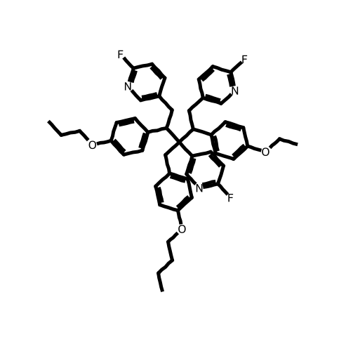 CCCCOc1ccc(CC(c2ccc(F)nc2)(C(Cc2ccc(F)nc2)c2ccc(OCC)cc2)C(Cc2ccc(F)nc2)c2ccc(OCCC)cc2)cc1